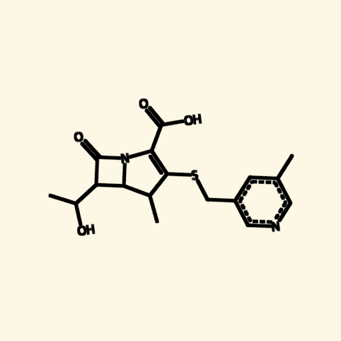 Cc1cncc(CSC2=C(C(=O)O)N3C(=O)C(C(C)O)C3C2C)c1